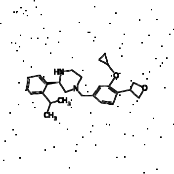 CC(C)c1ccccc1[C@@H]1CN(Cc2ccc(C3COC3)c(OC3CC3)c2)CCN1